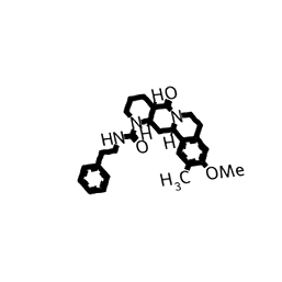 COc1cc2c(cc1C)[C@H]1C[C@H]3[C@H](CCCN3C(=O)NCCc3ccccc3)C(=O)N1CC2